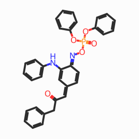 O=C(C=C1C=CC(=NOP(=O)(Oc2ccccc2)Oc2ccccc2)C(Nc2ccccc2)=C1)Cc1ccccc1